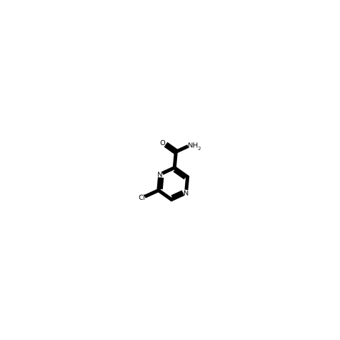 NC(=O)c1cncc(Cl)n1